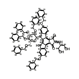 O=C1c2c(c3c4ccc(OCc5ccccc5)cc4n(C4O[C@H](COCc5ccccc5)[C@@H](OCc5ccccc5)[C@H](OCc5ccccc5)[C@H]4OCc4ccccc4)c3c3[nH]c4cc(OCc5ccccc5)ccc4c23)C(=O)N1NC(CO)CO